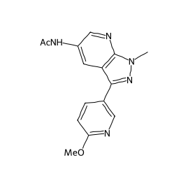 COc1ccc(-c2nn(C)c3ncc(NC(C)=O)cc23)cn1